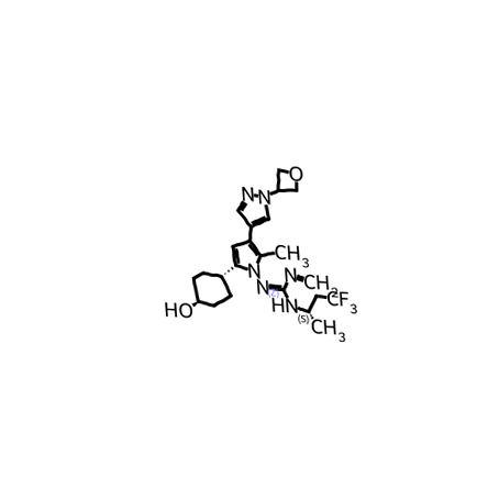 C=N/C(=N\n1c(C)c(-c2cnn(C3COC3)c2)cc1[C@H]1CC[C@H](O)CC1)N[C@@H](C)CC(F)(F)F